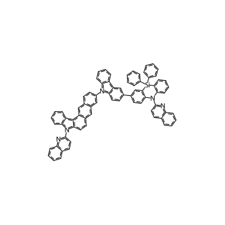 c1ccc([Si]2(c3ccccc3)c3ccccc3N(c3ccc4ccccc4n3)c3ccc(-c4ccc5c(c4)c4ccccc4n5-c4ccc5cc6c(ccc7c6c6ccccc6n7-c6ccc7ccccc7n6)cc5c4)cc32)cc1